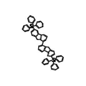 c1ccc([Si](c2ccccc2)(c2ccccc2)c2ccc3c(c2)-c2cccc(-c4cccc5c4Cc4ccc([Si](c6ccccc6)(c6ccccc6)c6ccccc6)cc4-5)c2C3)cc1